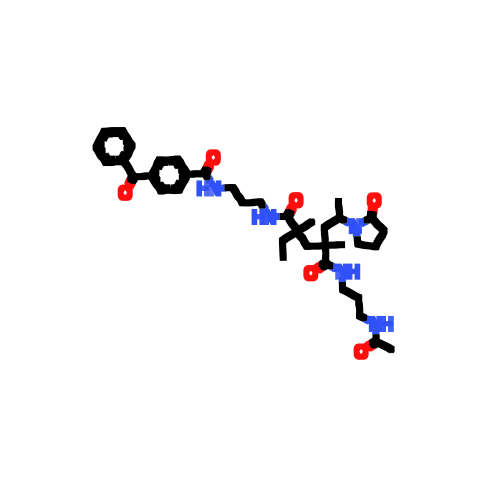 CCC(C)(CC(C)(CC(C)N1CCCC1=O)C(=O)NCCCNC(C)=O)C(=O)NCCCNC(=O)c1ccc(C(=O)c2ccccc2)cc1